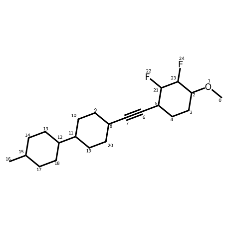 COC1CCC(C#CC2CCC(C3CCC(C)CC3)CC2)C(F)C1F